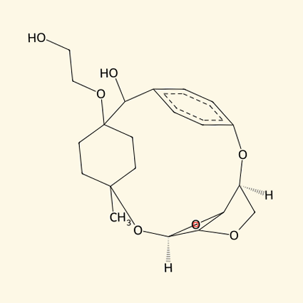 CC12CCC(OCCO)(CC1)C(O)c1ccc(cc1)O[C@H]1COC3C1OC[C@@H]3O2